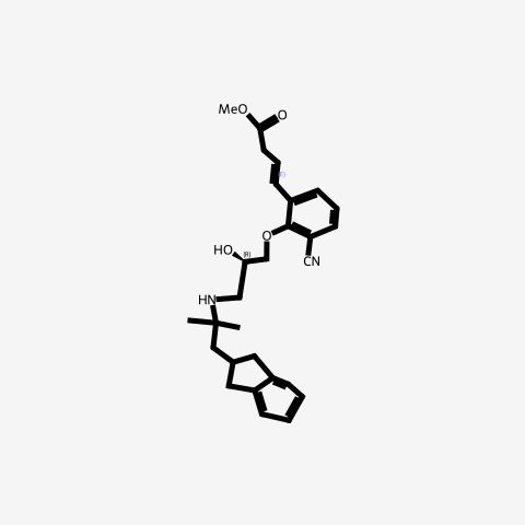 COC(=O)C/C=C/c1cccc(C#N)c1OC[C@H](O)CNC(C)(C)CC1Cc2ccccc2C1